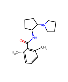 Cc1cccc(C)c1C(=O)N[C@H]1CCC[C@H]1N1CCCC1